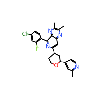 Cc1cc([C@H]2C[C@H](c3cc4nc(C)c(C)nc4c(-c4ccc(Cl)cc4F)n3)CCO2)ccn1